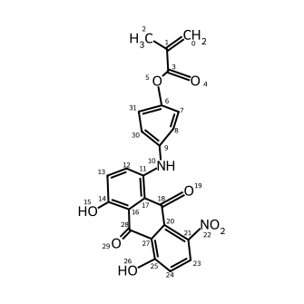 C=C(C)C(=O)Oc1ccc(Nc2ccc(O)c3c2C(=O)c2c([N+](=O)[O-])ccc(O)c2C3=O)cc1